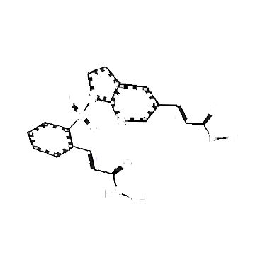 O=C(/C=C/c1cnc2c(ccn2S(=O)(=O)c2ccccc2/C=C/C(=O)NO)c1)NO